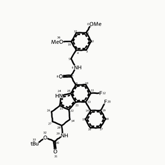 COc1ccc(CNC(=O)c2cc(F)c(-c3ccccc3F)c3c4c([nH]c23)CCC(NC(=O)OC(C)(C)C)C4)c(OC)c1